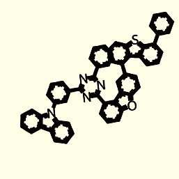 c1ccc(-c2nc(-c3cccc(-n4c5ccccc5c5ccccc54)c3)nc(-c3cccc4oc5ccc(-c6cccc7sc8c(-c9ccccc9)cccc8c67)cc5c34)n2)cc1